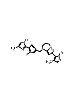 Cc1cnn(C(C)C)c1-c1cc2n(n1)CCCN2Cc1ccc(-c2nc(C(F)(F)F)cn2C)c(F)c1